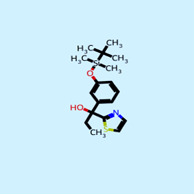 CCC(O)(c1cccc(O[Si](C)(C)C(C)(C)C)c1)c1nccs1